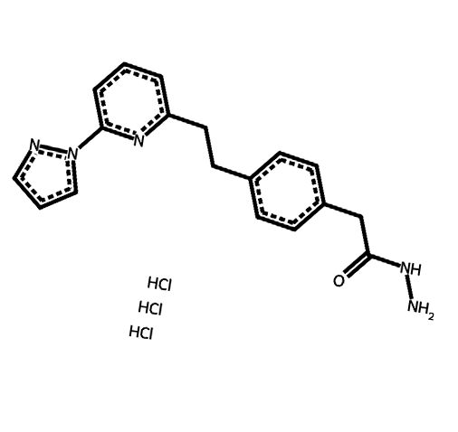 Cl.Cl.Cl.NNC(=O)Cc1ccc(CCc2cccc(-n3cccn3)n2)cc1